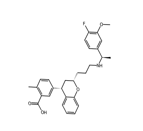 COc1cc([C@@H](C)NCCC[C@H]2C[C@@H](c3ccc(C)c(C(=O)O)c3)c3ccccc3O2)ccc1F